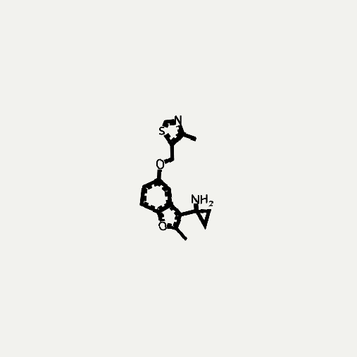 Cc1ncsc1COc1ccc2oc(C)c(C3(N)CC3)c2c1